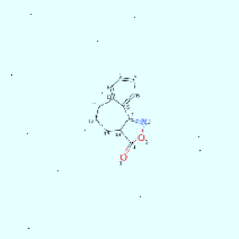 O=C1ON=C2c3ccccc3CCCC12